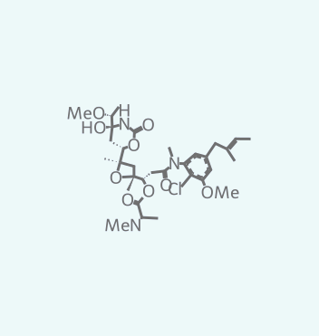 C/C=C(\C)Cc1cc(OC)c(Cl)c(N(C)C(=O)C[C@H](OC(=O)[C@H](C)NC)[C@@]2(C)C[C@](C)([C@@H]3C[C@](O)([C@@H](C)OC)NC(=O)O3)O2)c1